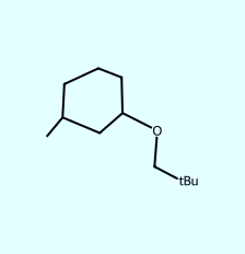 CC1CCCC(OCC(C)(C)C)C1